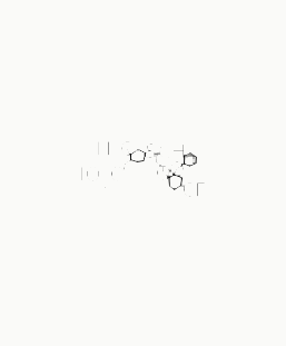 Cc1cc(SC(C)CCOc2ccc(C(F)(F)F)cc2Oc2ccccc2)ccc1CCC(=O)O